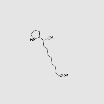 CCCCCCCCCCCCCCCCC(O)C1CCCN1